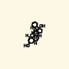 C[C@]12C=C[C@H](O)C[C@@H]1CC[C@@H]1[C@@H]2CC[C@]2(C)[C@@](O)(c3ccccc3)CC[C@]12O